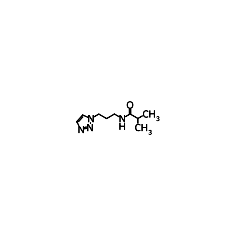 CC(C)C(=O)NCCCn1ccnn1